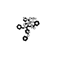 CC(C)(C)OC(=O)N1CSC[C@H]1C(=O)NC(CNC(=O)c1ccccc1O)C(SCC1CCCCC1)c1ccc(Oc2ccccc2)nc1